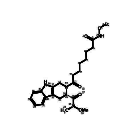 CCONC(=O)CCCCCCC(=O)N1Cc2[nH]c3ccccc3c2C[C@H]1C(=O)N(C)OC